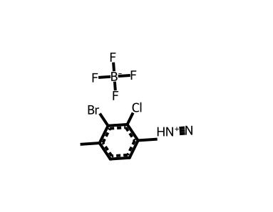 Cc1ccc(C)c(Br)c1Cl.F[B-](F)(F)F.N#[NH+]